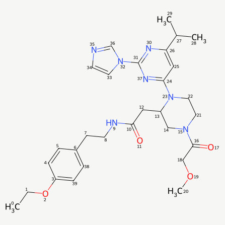 CCOc1ccc(CCNC(=O)CC2CN(C(=O)COC)CCN2c2cc(C(C)C)nc(-n3ccnc3)n2)cc1